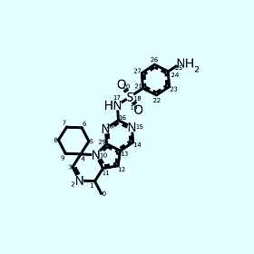 CC1N=CC2(CCCCC2)n2c1cc1cnc(NS(=O)(=O)c3ccc(N)cc3)nc12